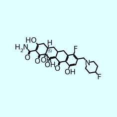 NC(=O)C1=C(O)C[C@@H]2CC3Cc4c(F)c(CN5CCC(F)CC5)cc(O)c4C(=O)C3=C(O)[C@]2(O)C1=O